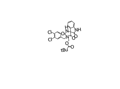 CC(C)(C)C(=O)OC[N+]1(Cc2ccc(Cl)c(Cl)c2)C(=O)NC2(C(=O)Nc3ccccc32)C1=O